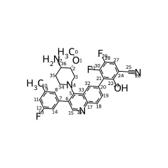 CO[C@@H]1CN(c2c(-c3cc(C)cc(F)c3)cnc3ccc(-c4c(O)c(C#N)cc(F)c4F)cc23)CC[C@H]1N